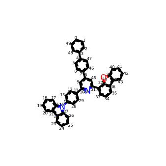 c1ccc(-c2ccc(-c3cc(-c4ccc(-n5c6ccccc6c6ccccc65)cc4)nc(-c4cccc5c4oc4ccccc45)c3)cc2)cc1